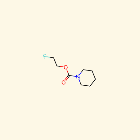 O=C(OCCF)N1CCCCC1